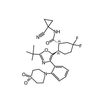 CC(C)(C)c1nc(-c2ccccc2N2CCS(=O)(=O)CC2)c([C@@H]2CCC(F)(F)C[C@H]2C(=O)NC2(C#N)CC2)o1